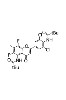 Cc1c(F)c(NC(=O)C(C)(C)C)c2c(=O)cc(-c3cc(Cl)c(NC(=O)C(C)(C)C)c(Cl)c3)oc2c1F